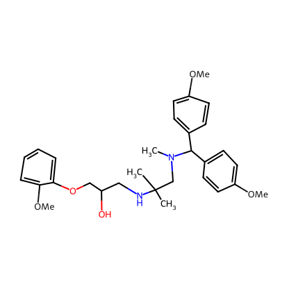 COc1ccc(C(c2ccc(OC)cc2)N(C)CC(C)(C)NCC(O)COc2ccccc2OC)cc1